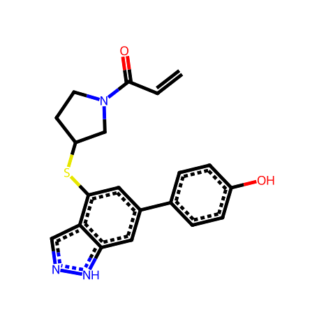 C=CC(=O)N1CCC(Sc2cc(-c3ccc(O)cc3)cc3[nH]ncc23)C1